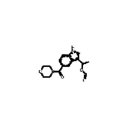 CC(OC=O)c1c[nH]c2ccc(C(=O)N3CCOCC3)cc12